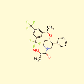 CC(O)C(=O)N1CC[C@H](O[C@H](C)c2cc(C(F)(F)F)cc(C(F)(F)F)c2)[C@H](c2ccccc2)C1